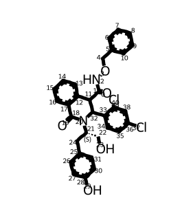 O=C(NOCc1ccccc1)C1c2ccccc2C(=O)N([C@H](CO)Cc2ccc(O)cc2)C1c1ccc(Cl)cc1Cl